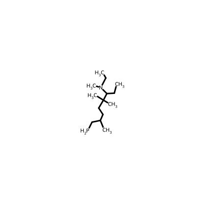 CCC(N(C)CC)C(C)(C)CCC(C)CP